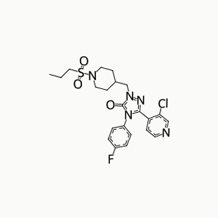 CCCS(=O)(=O)N1CCC(Cn2nc(-c3ccncc3Cl)n(-c3ccc(F)cc3)c2=O)CC1